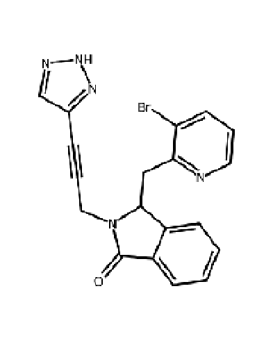 O=C1c2ccccc2C(Cc2ncccc2Br)N1CC#Cc1cn[nH]n1